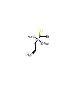 C=CC[Si](OC)(OC)C(S)CC